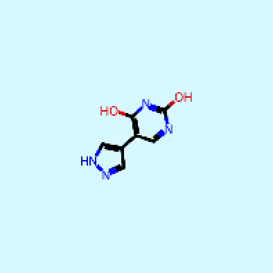 Oc1ncc(-c2cn[nH]c2)c(O)n1